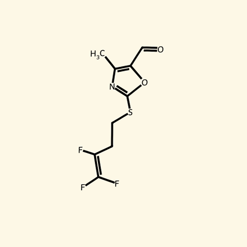 Cc1nc(SCCC(F)=C(F)F)oc1C=O